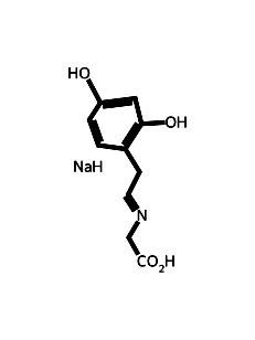 O=C(O)CN=CCc1ccc(O)cc1O.[NaH]